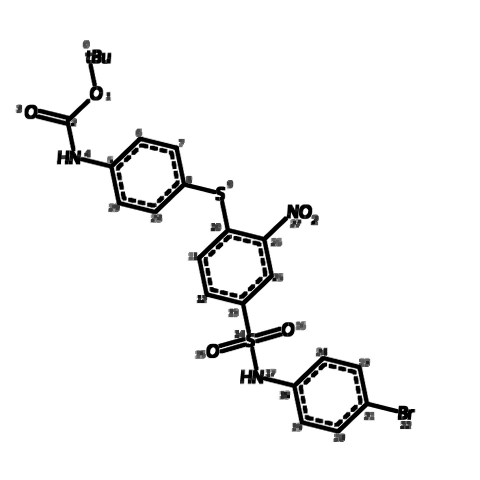 CC(C)(C)OC(=O)Nc1ccc(Sc2ccc(S(=O)(=O)Nc3ccc(Br)cc3)cc2[N+](=O)[O-])cc1